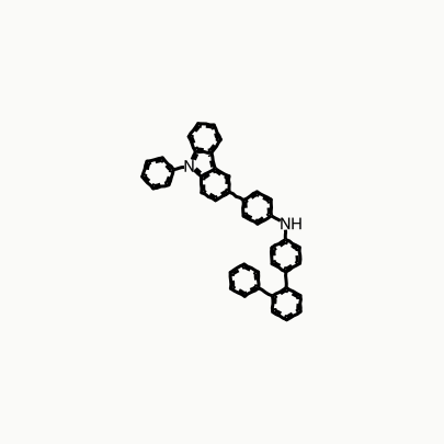 c1ccc(-c2ccccc2-c2ccc(Nc3ccc(-c4ccc5c(c4)c4ccccc4n5-c4ccccc4)cc3)cc2)cc1